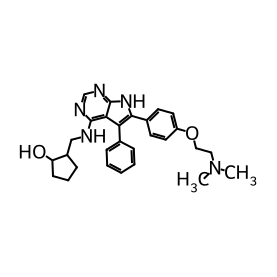 CN(C)CCOc1ccc(-c2[nH]c3ncnc(NCC4CCCC4O)c3c2-c2ccccc2)cc1